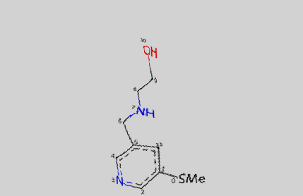 CSc1cncc(CNCCO)c1